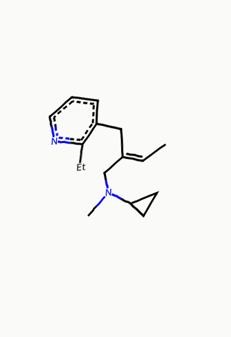 C/C=C(\Cc1cccnc1CC)CN(C)C1CC1